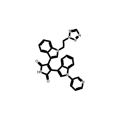 O=C1NC(=O)C(c2cn(-c3cccnc3)c3ccccc23)=C1c1cn(CCn2ncnn2)c2ccccc12